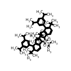 CC(C)c1cc(-c2c(C(C)(C)C)ccc3c2C=C(C(C)(C)C)[CH]3[Zr]([Cl])([Cl])([CH]2C(C(C)(C)C)=Cc3c2ccc(C(C)(C)C)c3-c2cc(C(C)C)cc(C(C)C)c2)[SiH](C)C)cc(C(C)C)c1